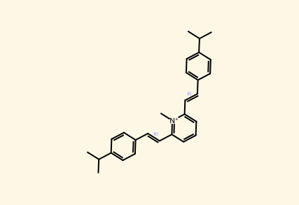 CC(C)c1ccc(/C=C/c2cccc(/C=C/c3ccc(C(C)C)cc3)[n+]2C)cc1